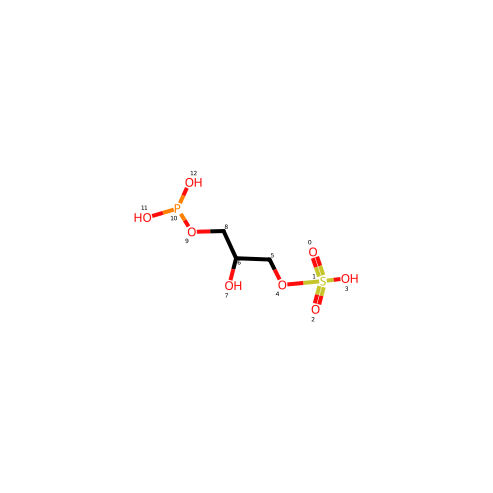 O=S(=O)(O)OCC(O)COP(O)O